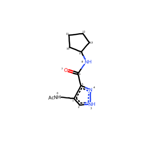 CC(=O)Nc1c[nH]nc1C(=O)NC1CCCC1